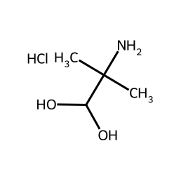 CC(C)(N)C(O)O.Cl